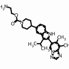 Cc1c(-c2[nH]c3ccc(C4CCN(C(=O)OCCN)CC4)cc3c2C(C)C)cn2ncnc2c1C